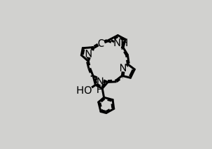 Oc1c(-c2ccccc2)c2cc3nc(cc4ccc(cc5nc(cc1[nH]2)C=C5)[nH]4)C=C3